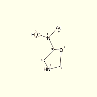 CC(=O)N(C)C1CNCO1